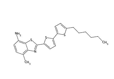 CCCCCCc1ccc(-c2ccc(-c3nc4c(C)ccc(N)c4s3)s2)s1